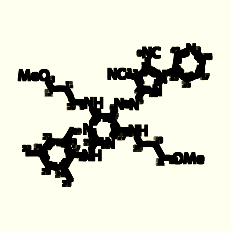 [C-]#[N+]c1c(C#N)c(N=Nc2c(NCCCOC)nc(Nc3c(C)cc(C)cc3C)nc2NCCCOC)nn1-c1cccnc1